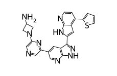 NC1CN(c2cncc(-c3cnc4[nH]nc(-c5cc6c(-c7cccs7)ccnc6[nH]5)c4c3)n2)C1